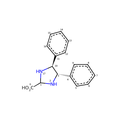 O=C(O)C1N[C@@H](c2ccccc2)[C@H](c2ccccc2)N1